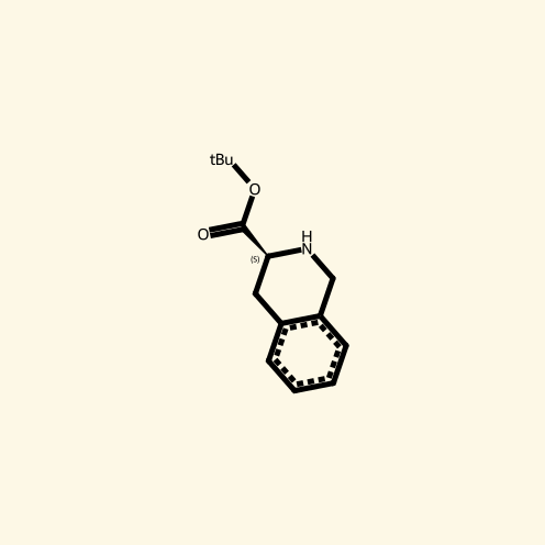 CC(C)(C)OC(=O)[C@@H]1Cc2ccccc2CN1